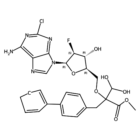 COC(=O)C(Cc1ccc(C2=CCCC=C2)cc1)(OC[C@H]1O[C@@H](n2cnc3c(N)nc(Cl)nc32)[C@@H](F)[C@@H]1O)C(O)O